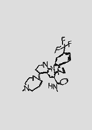 CNC(=O)c1cc2c(n3c1nc1ccc(C(F)(F)F)cc13)=NCCC=2N1CCCN(C)CC1